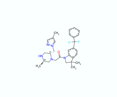 Cc1cnn(C[C@H]2CN[C@H](C)CN2CC(=O)N2CC(C)(C)c3ccc(C(F)(F)c4ccccc4)cc32)c1